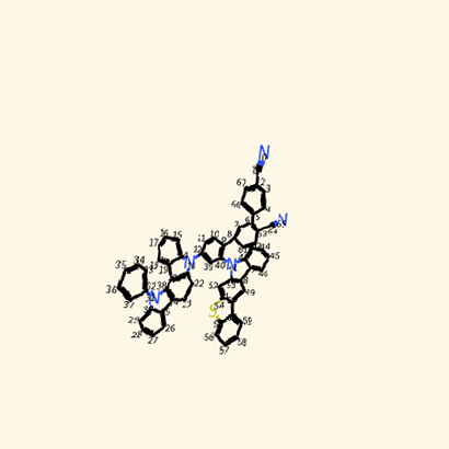 N#Cc1ccc(-c2cc(-c3ccc(-n4c5ccccc5c5c4ccc4c6ccccc6n(-c6ccccc6)c45)cc3-n3c4ccccc4c4cc5c(cc43)sc3ccccc35)ccc2C#N)cc1